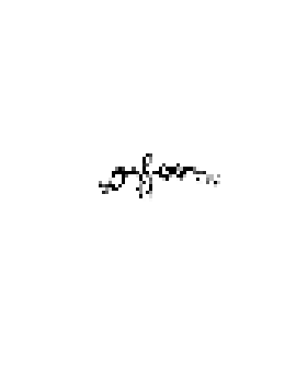 COc1ccc(CNC(=O)NC2CC3(CC(CO)C3)C2)cc1